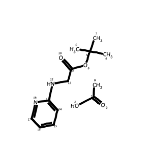 CC(=O)O.CC(C)(C)OC(=O)CNc1ccccn1